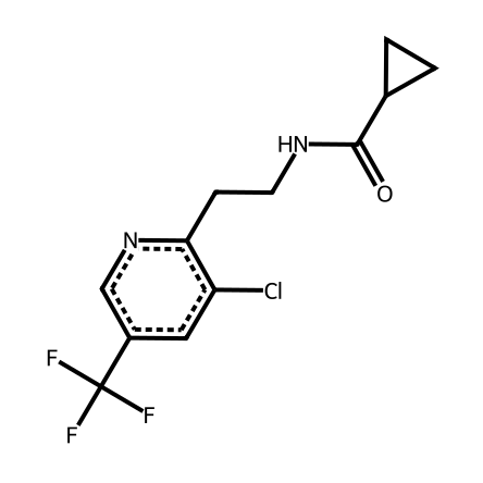 O=C(NCCc1ncc(C(F)(F)F)cc1Cl)C1CC1